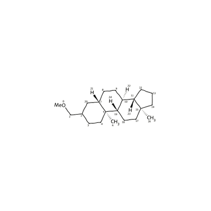 COCC1CC[C@@]2(C)[C@@H](CC[C@H]3[C@@H]4CCC[C@@]4(C)CC[C@@H]32)C1